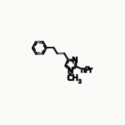 CCCc1nc(CCCc2ccccc2)cn1C